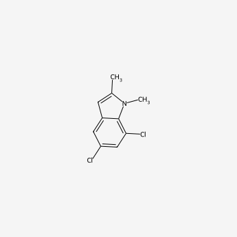 Cc1cc2cc(Cl)cc(Cl)c2n1C